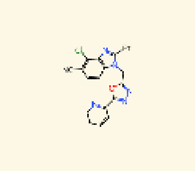 CCc1nc2c(Cl)c(C#N)ccc2n1Cc1nnc(C2=NCCC=C2)o1